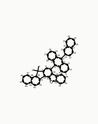 CC1(C)c2cc(-c3c4ccccc4c(-c4ccc5ccccc5c4)c4ccccc34)c3c(oc4ccccc43)c2-c2ccc3ccccc3c21